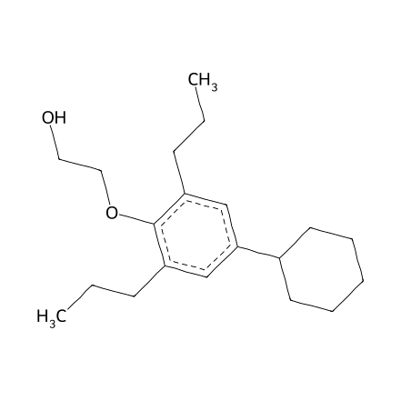 CCCc1cc(C2CCCCC2)cc(CCC)c1OCCO